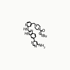 CC(C)(C)OC(=O)N1CCN(Cc2ccnc(Nc3nc4ccc(-c5cc(N)ncn5)cc4[nH]3)c2)CC1